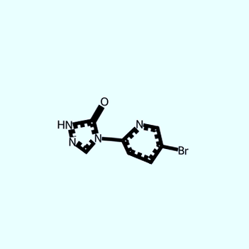 O=c1[nH]ncn1-c1ccc(Br)cn1